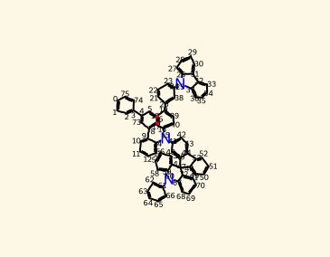 c1ccc(-c2cccc(-c3ccccc3N(c3ccc(-c4cccc(-n5c6ccccc6c6ccccc65)c4)cc3)c3ccc4c(c3)C3(c5ccccc5-4)c4ccccc4N(c4ccccc4)c4ccccc43)c2)cc1